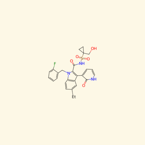 CCc1ccc2c(c1)c(-c1ccc[nH]c1=O)c(C(=O)NS(=O)(=O)C1(CO)CC1)n2Cc1ccccc1F